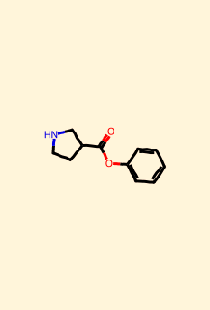 O=C(Oc1ccccc1)C1CCNC1